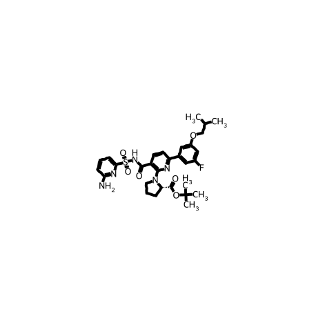 CC(C)COc1cc(F)cc(-c2ccc(C(=O)NS(=O)(=O)c3cccc(N)n3)c(N3CCC[C@H]3C(=O)OC(C)(C)C)n2)c1